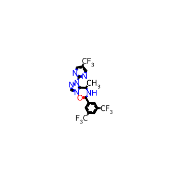 CC(NC(=O)c1cc(C(F)(F)F)cc(C(F)(F)F)c1)c1ncnn1-c1ncc(C(F)(F)F)cn1